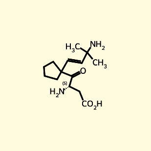 CC(C)(N)C=CC1(C(=O)[C@@H](N)CC(=O)O)CCCC1